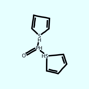 O=[PH]([SH]1C=CC=C1)[SH]1C=CC=C1